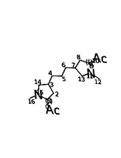 CC(=O)[C@@H]1CC(CCCC2C[C@@H](C(C)=O)N(C)C2)CN1C